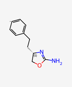 NC1=N[C@@H](CCc2cc[c]cc2)CO1